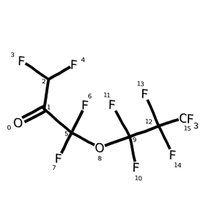 O=C(C(F)F)C(F)(F)OC(F)(F)C(F)(F)C(F)(F)F